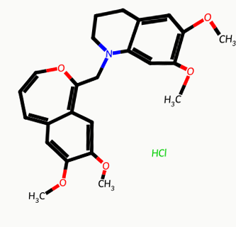 COc1cc2c(cc1OC)N(CC1=c3cc(OC)c(OC)cc3=CC=CO1)CCC2.Cl